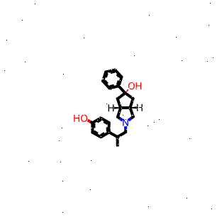 CC(CN1C[C@@H]2C[C@@](O)(c3ccccc3)C[C@@H]2C1)c1ccc(O)cc1